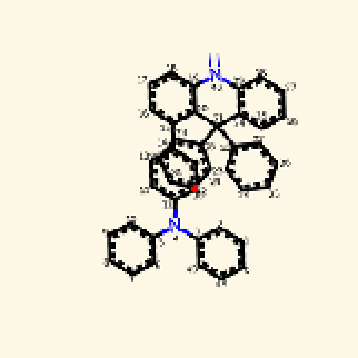 c1ccc(N(c2ccccc2)c2ccc(-c3cccc4c3C(c3ccccc3)(c3ccccc3)c3ccccc3N4)cc2)cc1